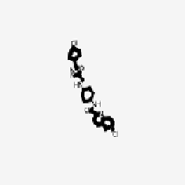 O=C(N[C@H]1CC[C@H](NCc2nnc(-c3ccc(Cl)cc3)o2)CC1)c1ccc2cc(Cl)ccc2n1